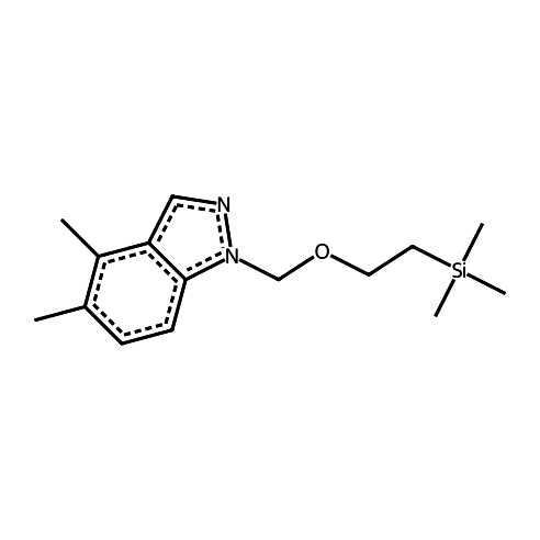 Cc1ccc2c(cnn2COCC[Si](C)(C)C)c1C